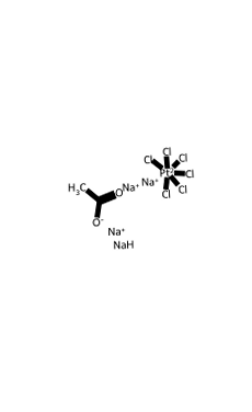 CC(=O)[O-].[Cl][Pt-2]([Cl])([Cl])([Cl])([Cl])[Cl].[Na+].[Na+].[Na+].[NaH]